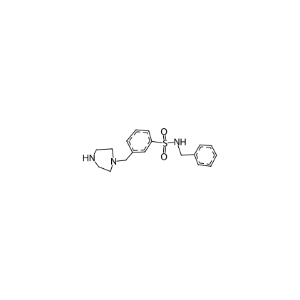 O=S(=O)(NCc1ccccc1)c1cccc(CN2CCNCC2)c1